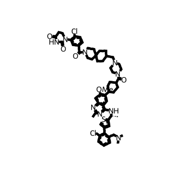 COc1cc2nc(C)nc(N[C@H](C)c3cc(-c4c(Cl)cccc4CN(C)C)cs3)c2cc1C1CCC(C(=O)N2CCN(CC3CCC4(CC3)CCN(C(=O)c3ccc(Cl)c(N5CCC(=O)NC5=O)c3)CC4)CC2)CC1